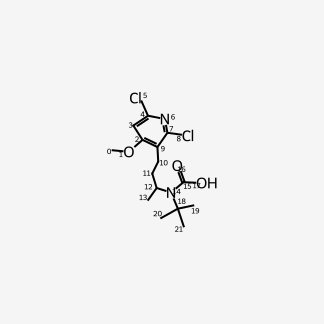 COc1cc(Cl)nc(Cl)c1CCC(C)N(C(=O)O)C(C)(C)C